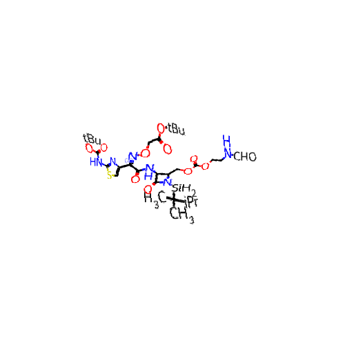 CC(C)C(C)(C)[SiH2]N1C(=O)C(NC(=O)/C(=N\OCC(=O)OC(C)(C)C)c2csc(NC(=O)OC(C)(C)C)n2)C1COC(=O)OCCNC=O